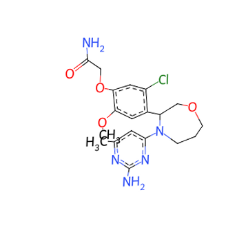 COc1cc(C2COCCCN2c2cc(C)nc(N)n2)c(Cl)cc1OCC(N)=O